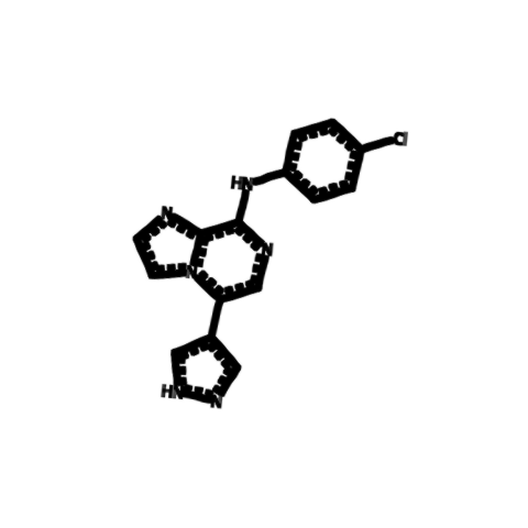 Clc1ccc(Nc2ncc(-c3cn[nH]c3)n3ccnc23)cc1